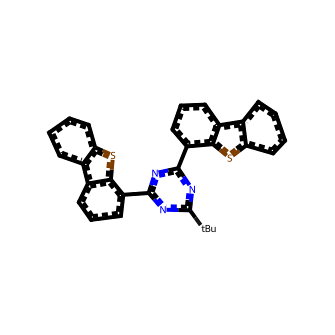 CC(C)(C)c1nc(-c2cccc3c2sc2ccccc23)nc(-c2cccc3c2sc2ccccc23)n1